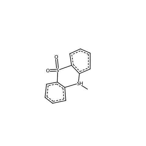 C[SH]1c2ccccc2S(=O)(=O)c2ccccc21